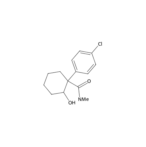 CNC(=O)C1(c2ccc(Cl)cc2)CCCCC1O